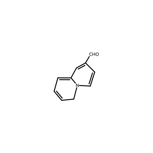 O=CC1=CC2=CC=CCN2C=C1